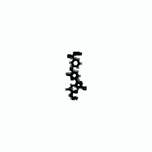 CCCOC(=O)N(C)Cc1cc(Cl)sc1-c1ccc(O[C@H]2CCC[C@H](C(=O)OC)C2)c(C)n1